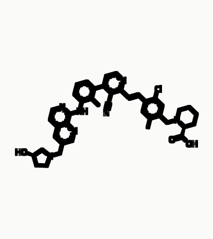 Cc1cc(/C=C/c2nccc(-c3cccc(Nc4nccc5cc(CN6CC[C@@H](O)C6)cnc45)c3C)c2C#N)c(Cl)cc1CN1CCCC[C@H]1C(=O)O